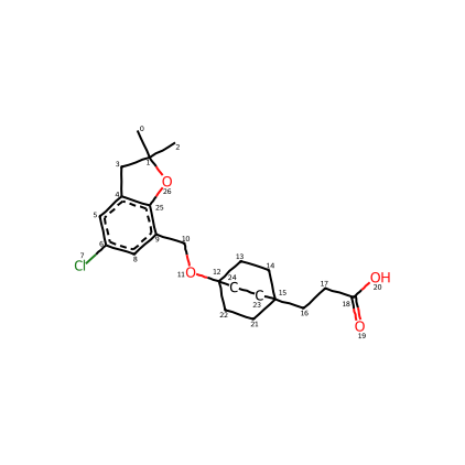 CC1(C)Cc2cc(Cl)cc(COC34CCC(CCC(=O)O)(CC3)CC4)c2O1